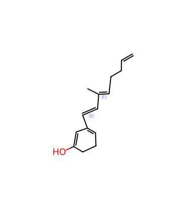 C=CCC/C=C(C)/C=C/C1=CCCC(O)=C1